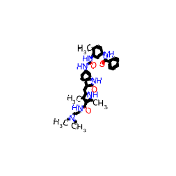 CCN(CC)CCNC(=O)c1c(C)[nH]c(C=C2C(=O)Nc3cc(NC(=O)Nc4cc(NC(=O)c5ccccc5)ccc4C)ccc32)c1C